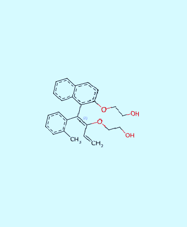 C=C/C(OCCO)=C(\c1ccccc1C)c1c(OCCO)ccc2ccccc12